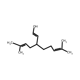 CC(C)=CCCC(C=CO)CC=C(C)C